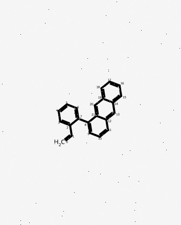 C=Cc1ccccc1-c1cccc2cc3ccccc3cc12